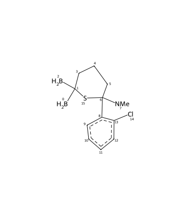 BC1(B)CCCC(NC)(c2ccccc2Cl)S1